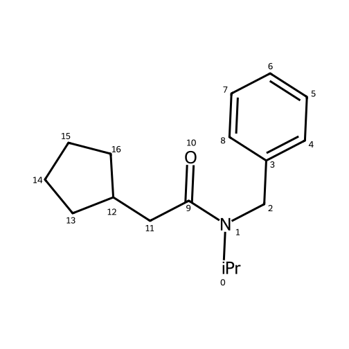 CC(C)N(Cc1ccccc1)C(=O)CC1CCCC1